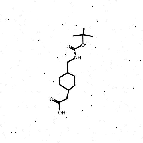 CC(C)(C)OC(=O)NC[C@H]1CC[C@@H](CC(=O)O)CC1